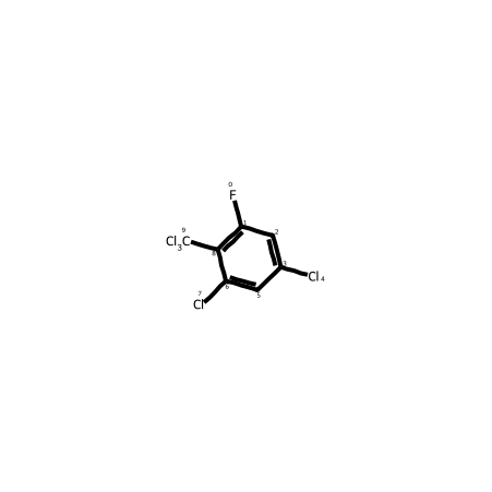 Fc1cc(Cl)cc(Cl)c1C(Cl)(Cl)Cl